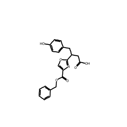 O=C(O)CC(Cc1ccc(O)cc1)c1nc(C(=O)OCc2ccccc2)co1